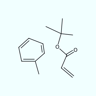 C=CC(=O)OC(C)(C)C.Cc1ccccc1